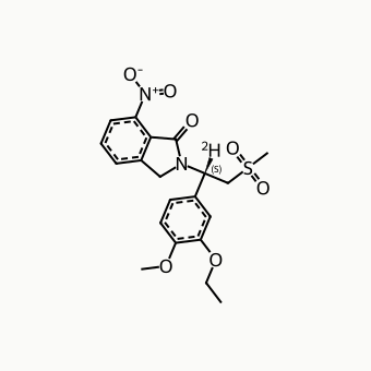 [2H][C@@](CS(C)(=O)=O)(c1ccc(OC)c(OCC)c1)N1Cc2cccc([N+](=O)[O-])c2C1=O